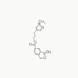 Cn1cc(CCCOC(=O)c2ccc3c(c2)B(O)OC3)cn1